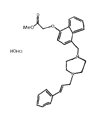 COC(=O)COc1ccc(CN2CCN(C/C=C/c3ccccc3)CC2)c2ccccc12.Cl.Cl